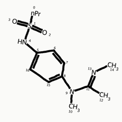 CCCS(=O)(=O)Nc1ccc(N(C)C(C)=NC)cc1